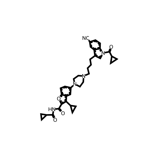 N#Cc1ccc2c(c1)c(CCCCN1CCN(c3ccc4oc(C(=O)NC(=O)C5CC5)c(C5CC5)c4c3)CC1)cn2C(=O)C1CC1